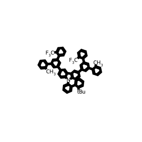 Cc1ccccc1-c1cc(-c2ccc3c(c2)c2cc(-c4cc(-c5ccccc5C)cc(-c5ccccc5C(F)(F)F)c4)ccc2n3-c2ccccc2-c2ccccc2C(C)(C)C)cc(-c2ccccc2C(F)(F)F)c1